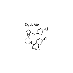 CNC(=O)C1CN(C2CCCN(c3ncnc4cc(Cl)c(-c5cc(Cl)ccc5Cl)cc34)C2)C1